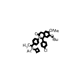 CCC(C)Oc1cc2c(cc1OC)CC(=O)N(c1ccc(C(C)N(C(C)=O)C3CCC3)cc1)C2c1ccc(Cl)cc1